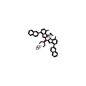 CCCCC1=Cc2c(-c3ccc4ccccc4c3)ccc(C)c2[CH]1[Zr+2]1([CH]2C(CCCC)=Cc3c(-c4ccc5ccccc5c4)ccc(C)c32)[CH2][CH2]1.[Cl-].[Cl-]